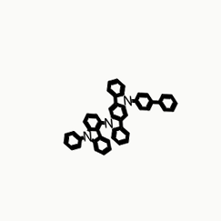 c1ccc(-c2ccc(-n3c4ccccc4c4cc5c(cc43)c3ccccc3n5-c3cccc4c3c3ccccc3n4-c3ccccc3)cc2)cc1